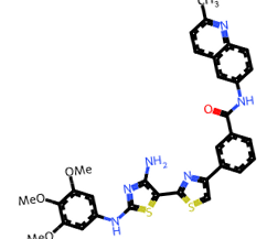 COc1cc(Nc2nc(N)c(-c3nc(-c4cccc(C(=O)Nc5ccc6nc(C)ccc6c5)c4)cs3)s2)cc(OC)c1OC